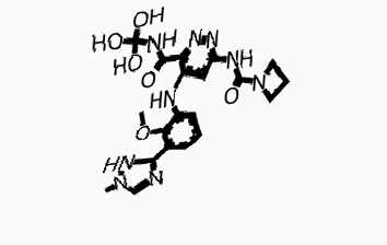 COc1c(Nc2cc(NC(=O)N3CCC3)nnc2C(=O)NC(O)(O)O)cccc1C1N=CN(C)N1